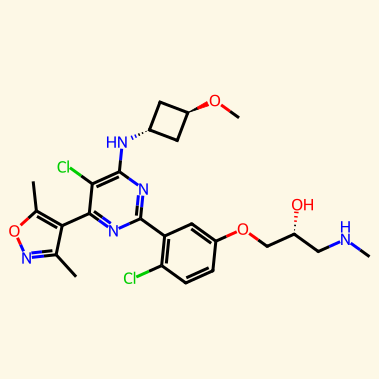 CNC[C@@H](O)COc1ccc(Cl)c(-c2nc(N[C@H]3C[C@H](OC)C3)c(Cl)c(-c3c(C)noc3C)n2)c1